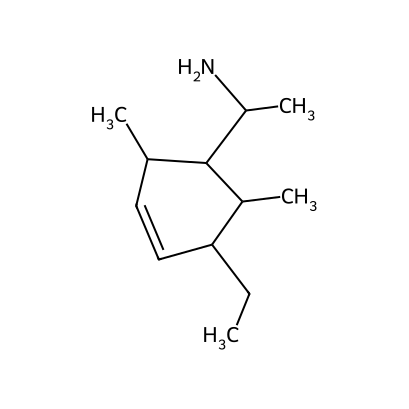 CCC1C=CC(C)C(C(C)N)C1C